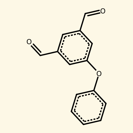 O=Cc1cc(C=O)cc(Oc2ccccc2)c1